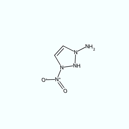 NN1C=CN([N+](=O)[O-])N1